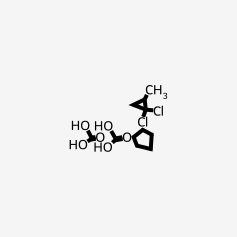 C1CCCC1.CC1CC1(Cl)Cl.O=C(O)O.O=C(O)O